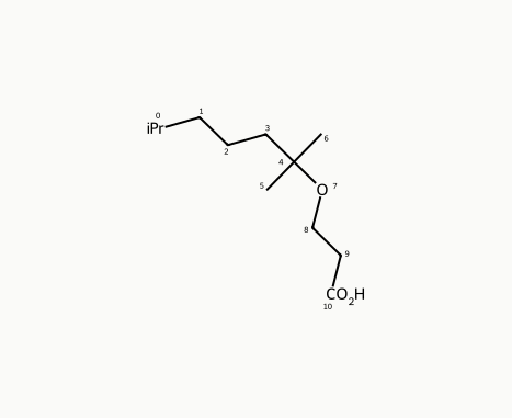 CC(C)CCCC(C)(C)OCCC(=O)O